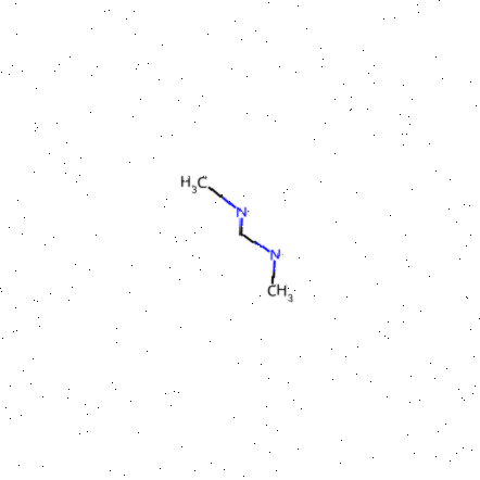 C[N]C[N]C